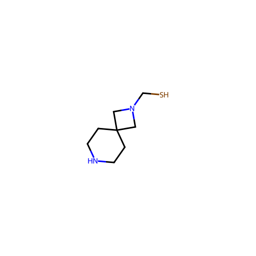 SCN1CC2(CCNCC2)C1